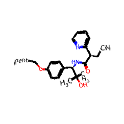 CCCC(C)COc1ccc([C@@H](NC(=O)[C@H](CC#N)c2ccccn2)C(C)(C)O)cc1